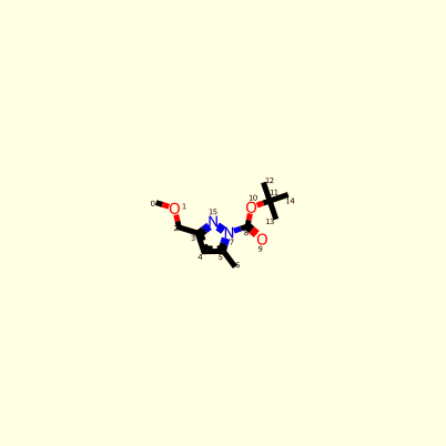 COCc1cc(C)n(C(=O)OC(C)(C)C)n1